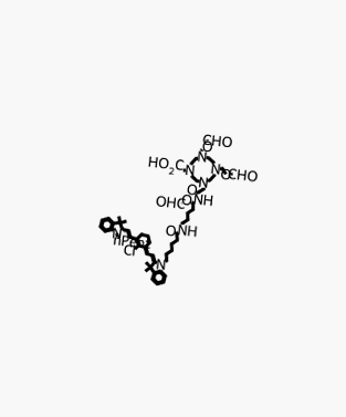 CCCCC[N+]1=C(/C=C/C2=C(Cl)C(=C/C=C3/N(CCCCCC(=O)NCCCCC(NC(=O)CN4CCN(COC=O)CCN(COC=O)CCN(CC(=O)O)CC4)OC=O)c4ccccc4C3(C)C)/CCC2)C(C)(C)c2ccccc21